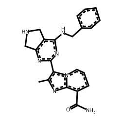 Cc1nc2c(C(N)=O)cccn2c1-c1nc2c(c(NCc3ccccc3)n1)CNC2